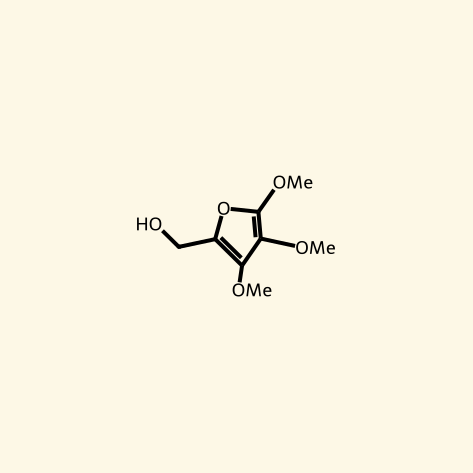 COc1oc(CO)c(OC)c1OC